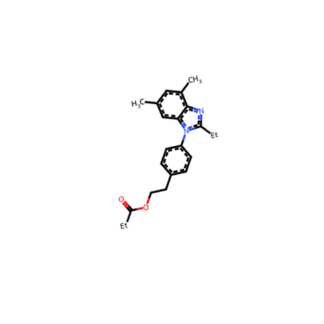 CCC(=O)OCCc1ccc(-n2c(CC)nc3c(C)cc(C)cc32)cc1